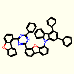 C1=CCC(c2cc(-c3ccccc3)cc3c2c2ccccc2n3-c2cccc3c2oc2c(-c4nc(-c5ccccc5)nc(-c5cccc6oc7ccccc7c56)n4)cccc23)C=C1